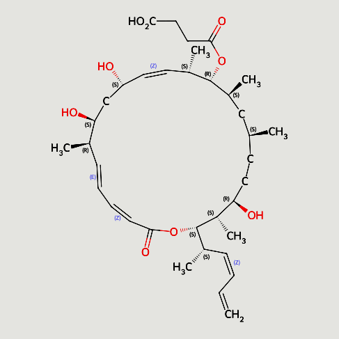 C=C/C=C\[C@H](C)[C@@H]1OC(=O)/C=C\C=C\[C@@H](C)[C@@H](O)C[C@H](O)/C=C\[C@H](C)[C@H](OC(=O)CCC(=O)O)[C@@H](C)C[C@@H](C)CC[C@@H](O)[C@@H]1C